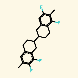 Cc1cc2c(c(F)c1F)CC(C1CCc3c(cc(F)c(C)c3F)C1)CC2